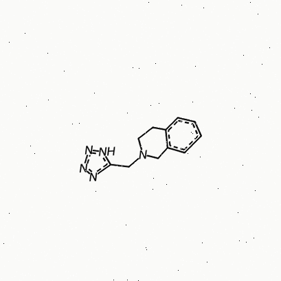 c1ccc2c(c1)CCN(Cc1nnn[nH]1)C2